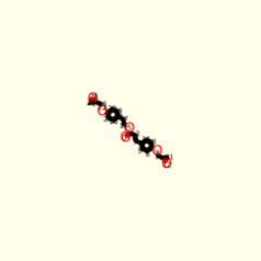 O=C(/C=C/c1ccc(OCC2CO2)cc1)OCCc1ccc(OCC2CO2)cc1